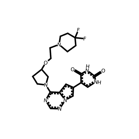 O=c1[nH]cc(-c2cc3c(N4CCC(OCCN5CCC(F)(F)CC5)C4)ncnn3c2)c(=O)[nH]1